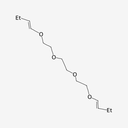 CC/C=C/OCCOCCOCCO/C=C/CC